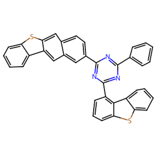 c1ccc(-c2nc(-c3ccc4cc5sc6ccccc6c5cc4c3)nc(-c3cccc4sc5ccccc5c34)n2)cc1